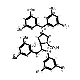 CC(C)(C)c1cc(PC(Pc2cc(C(C)(C)C)cc(C(C)(C)C)c2)[C@@]2(C(C)(C)C)C[C@H](P(c3cc(C(C)(C)C)cc(C(C)(C)C)c3)c3cc(C(C)(C)C)cc(C(C)(C)C)c3)CN2C(=O)O)cc(C(C)(C)C)c1